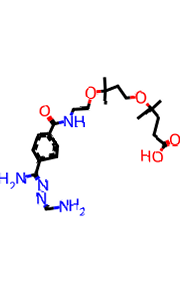 CC(C)(CCOC(C)(C)CCC(=O)O)OCCNC(=O)c1ccc(/C(N)=N/N=C\N)cc1